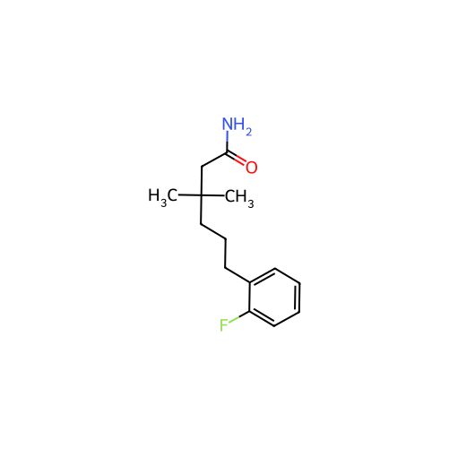 CC(C)(CCCc1ccccc1F)CC(N)=O